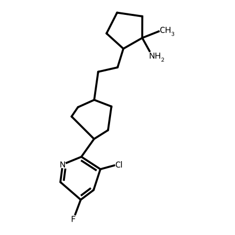 CC1(N)CCCC1CCC1CCC(c2ncc(F)cc2Cl)CC1